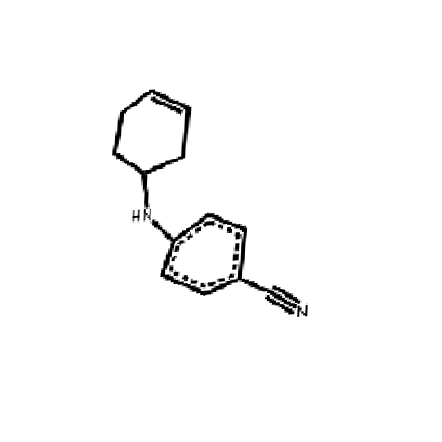 N#Cc1ccc(NC2CC=CCC2)cc1